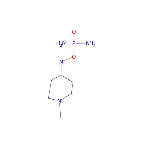 CN1CCC(=NOP(N)(N)=O)CC1